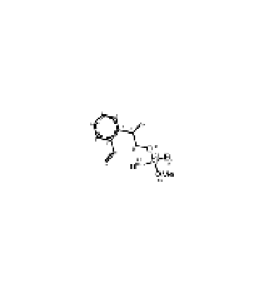 C=Cc1ccccc1C(C)CO[Si](CC)(CCC)OC